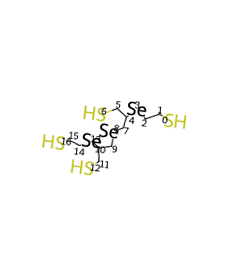 SCC[Se]C(CS)C[Se]CC(CS)[Se]CCS